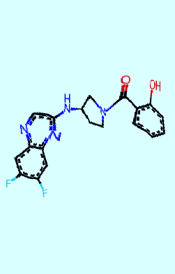 O=C(c1ccccc1O)N1CC[C@@H](Nc2cnc3cc(F)c(F)cc3n2)C1